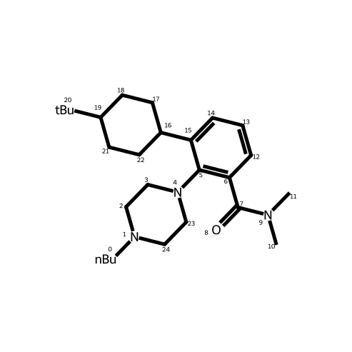 CCCCN1CCN(c2c(C(=O)N(C)C)cccc2C2CCC(C(C)(C)C)CC2)CC1